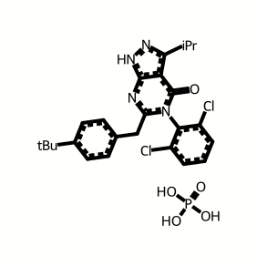 CC(C)c1n[nH]c2nc(Cc3ccc(C(C)(C)C)cc3)n(-c3c(Cl)cccc3Cl)c(=O)c12.O=P(O)(O)O